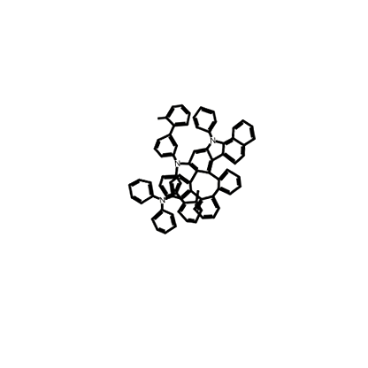 Cc1ccccc1-c1cccc(N(c2cccc(-c3ccccc3C)c2)c2cc3c(c4c2-c2ccc(N(c5ccccc5)c5ccccc5)cc2-c2ccccc2-c2ccccc2-4)c2ccc4ccccc4c2n3-c2ccccc2)c1